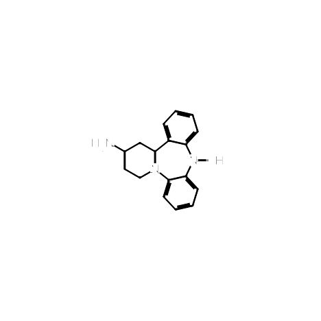 CN1c2ccccc2C2CC(N)CCN2c2ccccc21